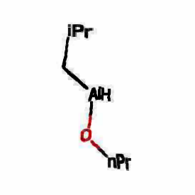 CCC[O][AlH][CH2]C(C)C